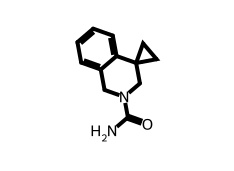 NC(=O)N1Cc2ccccc2C2(CC2)C1